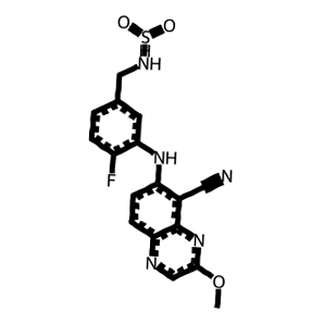 COc1cnc2ccc(Nc3cc(CN[SH](=O)=O)ccc3F)c(C#N)c2n1